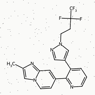 Cc1cn2ccc(-c3ncccc3-c3cnn(CCC(F)(F)C(F)(F)F)c3)cc2n1